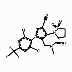 CN(C=N)Cc1c(N2CCCS2(=O)=O)c(C#N)nn1-c1c(Cl)cc(C(F)(F)F)cc1Cl